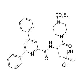 CCOC(=O)N1CCN(C(=O)[C@H](CP(=O)(O)O)NC(=O)c2cc(-c3ccccc3)cc(-c3ccccc3)n2)CC1